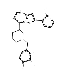 COc1ncccc1-c1cc2nccc(C3CCCN(Cc4ccc(Cl)c(Cl)c4)C3)n2n1